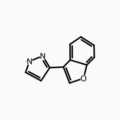 C1=CC(c2coc3ccccc23)=N[N]1